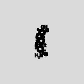 CC[C@@]12CC[C@@]3(C)C4=CC(=O)C(O)=C(C)C4=CC=C3[C@@]1(C)CC[C@@]1(C)CC[C@@](C)(C(N)=O)C[C@H]12